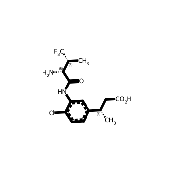 C[C@H]([C@@H](N)C(=O)Nc1cc([C@@H](C)CC(=O)O)ccc1Cl)C(F)(F)F